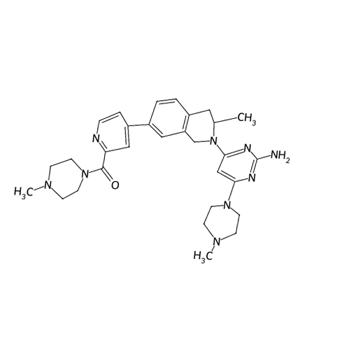 CC1Cc2ccc(-c3ccnc(C(=O)N4CCN(C)CC4)c3)cc2CN1c1cc(N2CCN(C)CC2)nc(N)n1